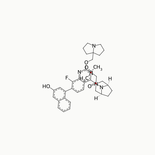 CP(C)(=O)CC(=O)N1[C@@H]2CC[C@H]1CN(c1nc(OCC34CCCN3CCC4)nc3c(F)c(-c4cc(O)cc5ccccc45)ccc13)C2